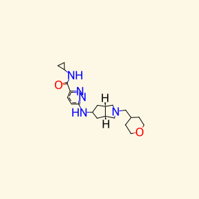 O=C(NC1CC1)c1ccc(NC2C[C@@H]3CN(CC4CCOCC4)C[C@@H]3C2)nn1